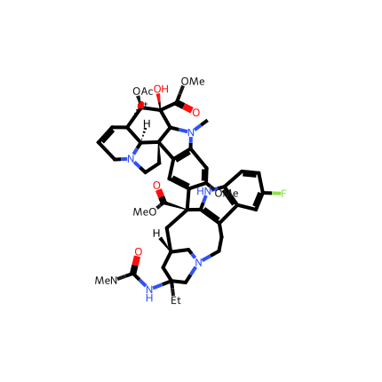 CCC1(NC(=O)NC)C[C@H]2CN(CCc3c([nH]c4ccc(F)cc34)[C@@](C(=O)OC)(c3cc4c(cc3OC)N(C)C3[C@]45CCN4CC=C[C@@](CC)([C@@H](OC(C)=O)[C@]3(O)C(=O)OC)[C@H]45)C2)C1